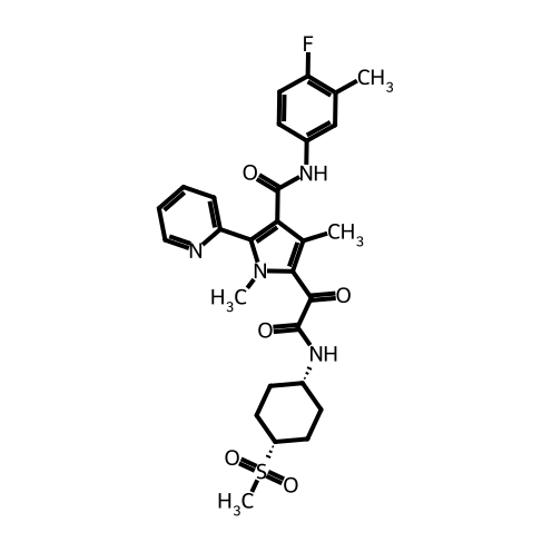 Cc1cc(NC(=O)c2c(C)c(C(=O)C(=O)N[C@H]3CC[C@@H](S(C)(=O)=O)CC3)n(C)c2-c2ccccn2)ccc1F